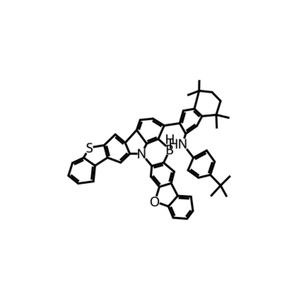 CC(C)(C)c1ccc(Nc2cc3c(cc2-c2ccc4c5cc6sc7ccccc7c6cc5n5c4c2Bc2cc4c(cc2-5)oc2ccccc24)C(C)(C)CCC3(C)C)cc1